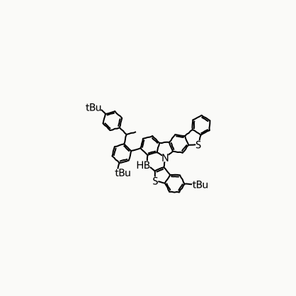 CC(c1ccc(C(C)(C)C)cc1)c1ccc(C(C)(C)C)cc1-c1ccc2c3cc4c(cc3n3c2c1Bc1sc2ccc(C(C)(C)C)cc2c1-3)sc1ccccc14